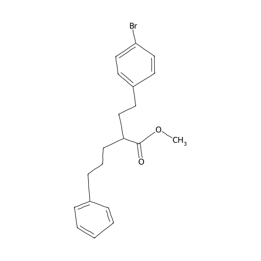 COC(=O)C(CCCc1ccccc1)CCc1ccc(Br)cc1